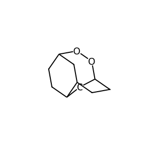 C1CC2CC3CCC2CC1OO3